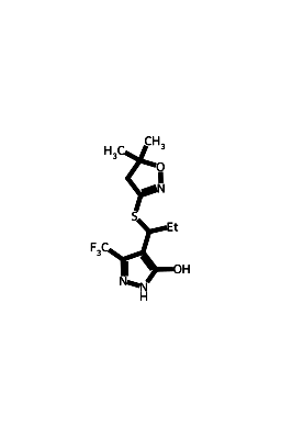 CCC(SC1=NOC(C)(C)C1)c1c(C(F)(F)F)n[nH]c1O